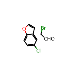 Clc1ccc2occc2c1.O=CCBr